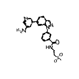 CS(=O)(=O)CCNC(=O)c1cccc(-n2ncc3ccc(-c4cncc(N)c4)cc32)c1